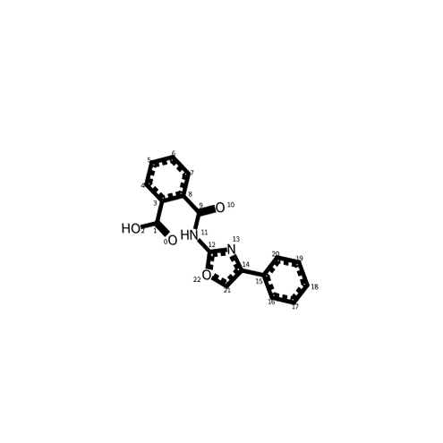 O=C(O)c1ccccc1C(=O)Nc1nc(-c2ccccc2)co1